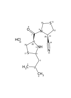 CC(C)CC1N[C@H](C(=O)N2CSC[C@H]2C#N)CS1.Cl